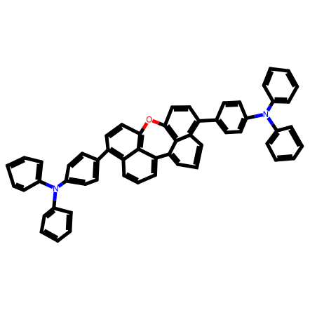 c1ccc(N(c2ccccc2)c2ccc(-c3ccc4oc5ccc(-c6ccc(N(c7ccccc7)c7ccccc7)cc6)c6cccc(c7cccc3c47)c56)cc2)cc1